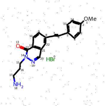 Br.COc1ccc(C=Cc2ccc3c(=O)n(CCCN)ncc3c2)cc1